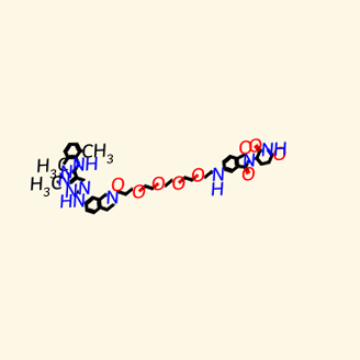 Cc1cccc(C)c1Nc1nn(C)c2nc(Nc3ccc4c(c3)CN(C(=O)CCOCCOCCOCCOCCNc3ccc5c(c3)C(=O)N(C3CCC(=O)NC3=O)C5=O)CC4)ncc12